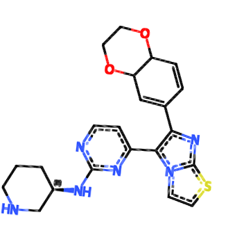 C1=CC2OCCOC2C=C1c1nc2sccn2c1-c1ccnc(N[C@@H]2CCCNC2)n1